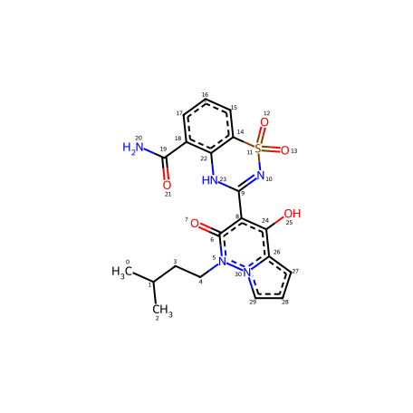 CC(C)CCn1c(=O)c(C2=NS(=O)(=O)c3c[c]cc(C(N)=O)c3N2)c(O)c2cccn21